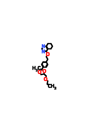 C=CCOCC1COC(C)(c2ccc(CCOc3ncnc4c3CCCC4)cc2)O1